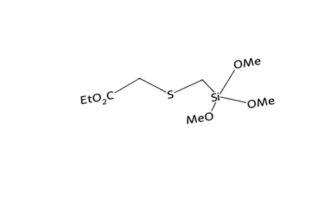 CCOC(=O)CSC[Si](OC)(OC)OC